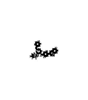 CC(C)(C)[Si](C)(C)O[C@@H]1CN(Cc2ccccc2)CC[C@H]1Cc1ccc(-c2cnc3ccccc3c2)cc1